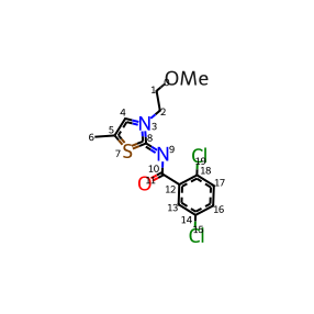 COCCn1cc(C)sc1=NC(=O)c1cc(Cl)ccc1Cl